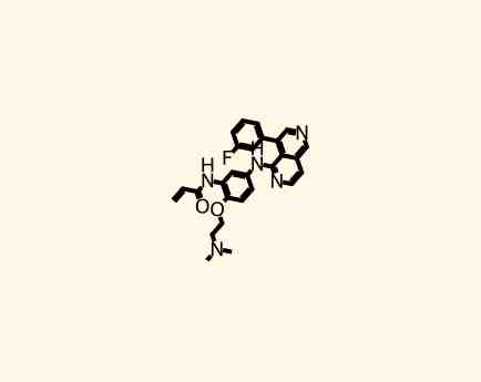 C=CC(=O)Nc1cc(Nc2nccc3cncc(-c4cccc(F)c4)c23)ccc1OCCN(C)C